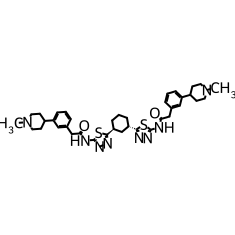 CN1CCC(c2cccc(CC(=O)Nc3nnc([C@H]4CCC[C@H](c5nnc(NC(=O)Cc6cccc(C7CCN(C)CC7)c6)s5)C4)s3)c2)CC1